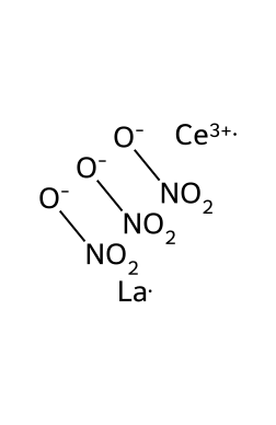 O=[N+]([O-])[O-].O=[N+]([O-])[O-].O=[N+]([O-])[O-].[Ce+3].[La]